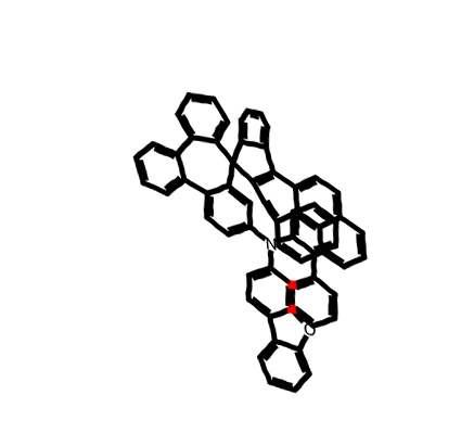 c1ccc(-c2ccccc2N(c2ccc3c(c2)C2(c4ccccc4-c4ccccc4-3)c3ccccc3-c3c2cc2ccc4cccc5ccc3c2c45)c2ccc3c(c2)oc2ccccc23)cc1